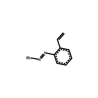 C=Cc1ccccc1N=NC(C)(C)C